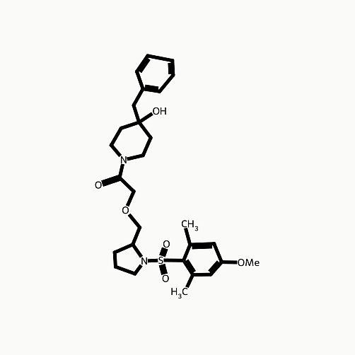 COc1cc(C)c(S(=O)(=O)N2CCCC2COCC(=O)N2CCC(O)(Cc3ccccc3)CC2)c(C)c1